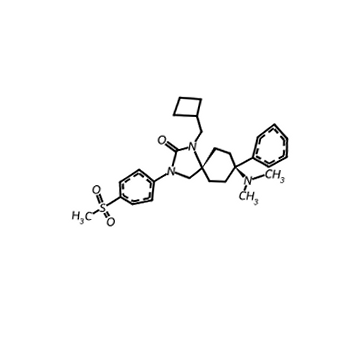 CN(C)[C@]1(c2ccccc2)CC[C@@]2(CC1)CN(c1ccc(S(C)(=O)=O)cc1)C(=O)N2CC1CCC1